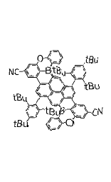 CC(C)(C)c1cc(C(C)(C)C)c(-c2cc3c4c(cc5c(-c6c(C(C)(C)C)cc(C(C)(C)C)cc6C(C)(C)C)cc6c7c(cc2c4c57)B2c4ccccc4Oc4cc(C#N)cc-6c42)B2c4ccccc4Oc4cc(C#N)cc-3c42)c(C(C)(C)C)c1